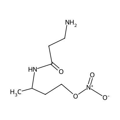 CC(CCO[N+](=O)[O-])NC(=O)CCN